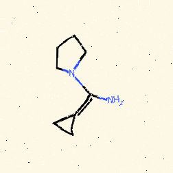 NC(=C1CC1)N1CCCC1